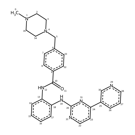 CN1CCN(Cc2ccc(C(=O)Nc3ccccc3Nc3nccc(-c4cccnc4)n3)cc2)CC1